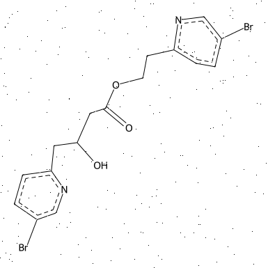 O=C(CC(O)Cc1ccc(Br)cn1)OCCc1ccc(Br)cn1